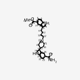 COC(=O)c1ccc2[nH]cc(CCCCN3CCC(c4c[nH]c5ccc(C(N)=O)cc45)CC3)c2c1